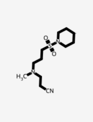 CN(CCC#N)CCCS(=O)(=O)N1CC[CH]CC1